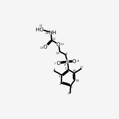 Cc1cc(C)c(S(=O)(=O)CCOC(=O)NO)c(C)c1